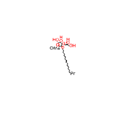 COC1O[C@H](CO)[C@@H](O)[C@H](OCC(O)CO)[C@H]1OCCCCCCCCCCCCCCCC(C)C